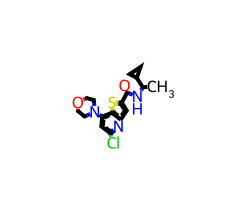 CC(NC(=O)c1cc2nc(Cl)cc(N3CCOCC3)c2s1)C1CC1